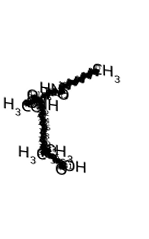 CCCCCCCCCCCC(=O)NCCCC[C@H](NC(=O)CCCCCCCCCC[N+](C)(C)CCCCC(=O)O)C(=O)OCC